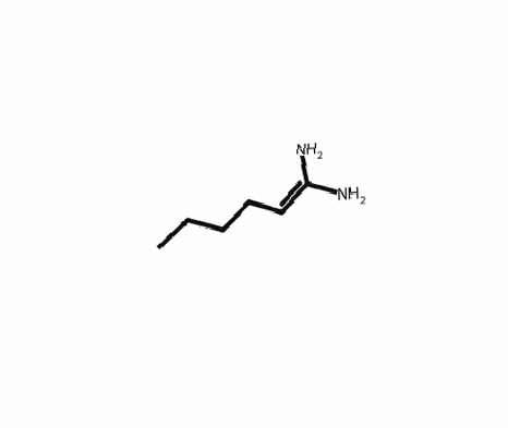 CCCCC=C(N)N